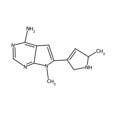 CC1C=C(c2cc3c(N)ncnc3n2C)CN1